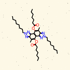 CCCCCCCCn1nc2c(C)c(OC(=O)CCCCCC)c3c4nn(CCCCCCCC)nc4c(C)c(OC(=O)CCCCCC)c3c2n1